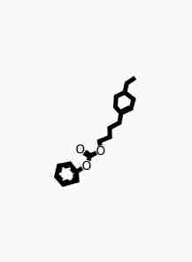 CCC1CC=C(CCCCOC(=O)Oc2ccccc2)CC1